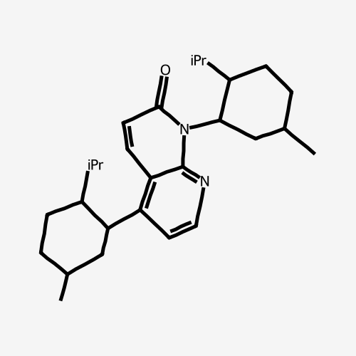 CC1CCC(C(C)C)C(c2ccnc3c2ccc(=O)n3C2CC(C)CCC2C(C)C)C1